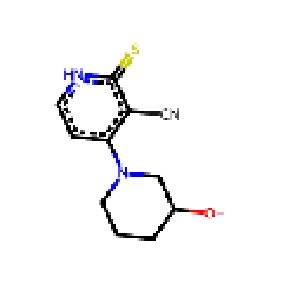 N#Cc1c(N2CCCC(O)C2)cc[nH]c1=S